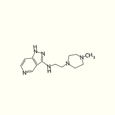 CN1CCN(CCNc2n[nH]c3ccncc23)CC1